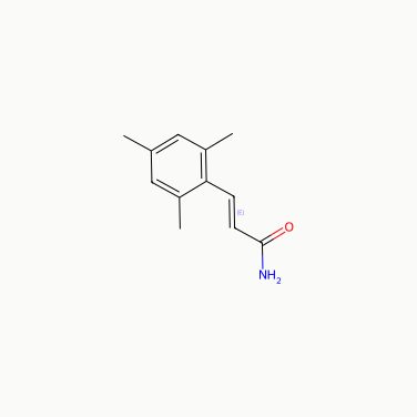 Cc1cc(C)c(/C=C/C(N)=O)c(C)c1